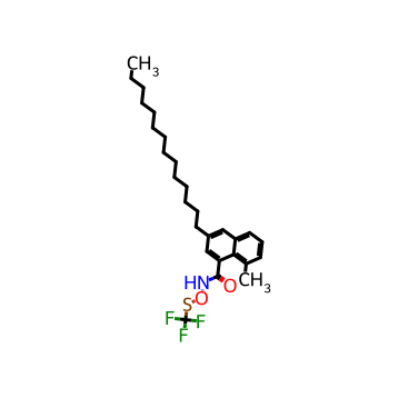 CCCCCCCCCCCCCCc1cc(C(=O)NOSC(F)(F)F)c2c(C)cccc2c1